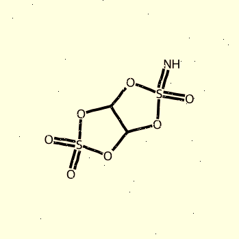 N=S1(=O)OC2OS(=O)(=O)OC2O1